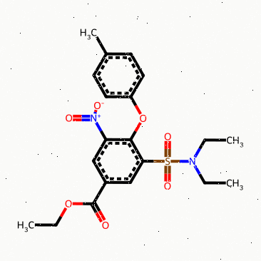 CCOC(=O)c1cc([N+](=O)[O-])c(Oc2ccc(C)cc2)c(S(=O)(=O)N(CC)CC)c1